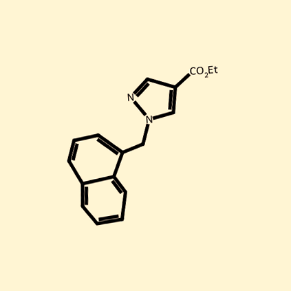 CCOC(=O)c1cnn(Cc2cccc3ccccc23)c1